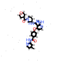 Cc1ccnc(NC(=O)c2ccc(Oc3ccnc4[nH]nc(N[C@@H]5CCCN(C(=O)C6CCOCC6)C5)c34)cc2)c1